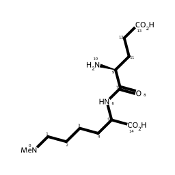 CNCCCCC(NC(=O)[C@@H](N)CCC(=O)O)C(=O)O